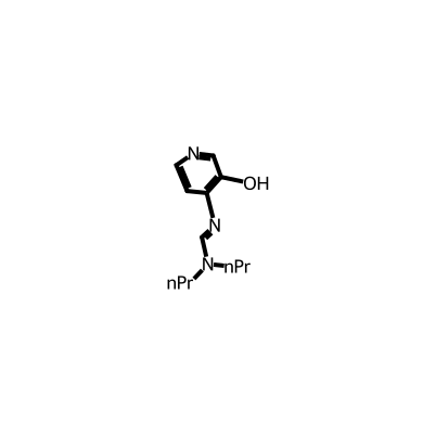 CCCN(/C=N/c1ccncc1O)CCC